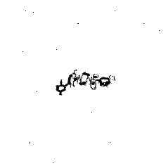 Cc1ccc(C)c(-c2csc(N3CCN(S(=O)(=O)c4cccc(Cl)c4)CC3)n2)c1